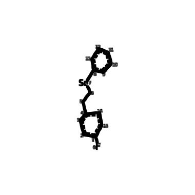 Fc1ccc(CC[Se]c2ccccc2)cc1